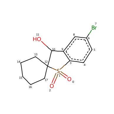 O=S1(=O)c2ccc(Br)cc2C(O)C12CCCCC2